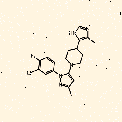 Cc1cc(N2CCC(c3[nH]cnc3C)CC2)n(-c2ccc(F)c(Cl)c2)n1